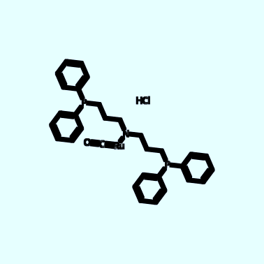 Cl.O=[C]=[Ru][N](CCCP(c1ccccc1)c1ccccc1)CCCP(c1ccccc1)c1ccccc1